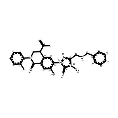 C=C(C)C1CN(c2ccccc2C)C(=O)c2cc(F)c(-n3nc(COCc4ccccc4)n(CC)c3=O)cc21